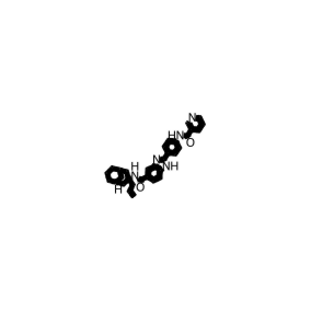 C=CCC1(NC(=O)c2ccc3[nH]c(-c4ccc(NC(=O)c5cccnc5)cc4)nc3c2)CC2CCC[C@@H](C2)C1